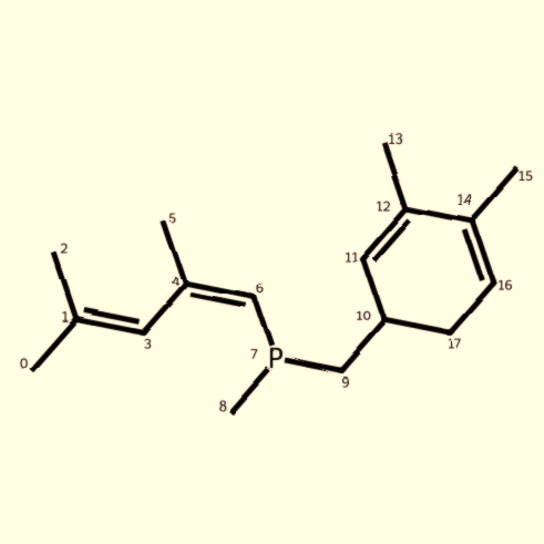 CC(C)=C/C(C)=C\P(C)CC1C=C(C)C(C)=CC1